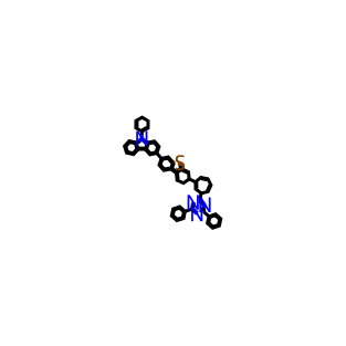 C1=CC(C2C=c3sc4cc(-c5ccc6c(c5)c5ccccc5n6C5=CCCC=C5)ccc4c3=CC2)=CC(c2nc(-c3ccccc3)nc(-c3ccccc3)n2)C=C1